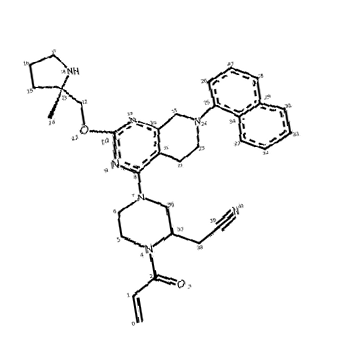 C=CC(=O)N1CCN(c2nc(OC[C@]3(C)CCCN3)nc3c2CCN(c2cccc4ccccc24)C3)CC1CC#N